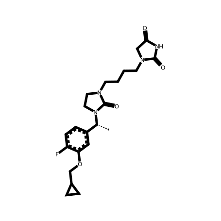 C[C@H](c1ccc(F)c(OCC2CC2)c1)N1CCN(CCCCN2CC(=O)NC2=O)C1=O